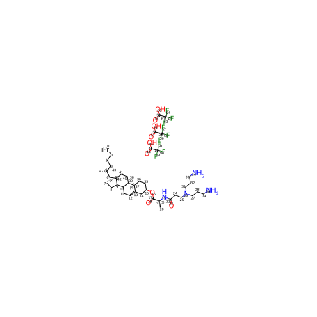 CC(C)CCC[C@@H](C)[C@H]1CCC2C3CC=C4CC(OC(=O)[C@H](C)NC(=O)CCN(CCCN)CCCN)CC[C@]4(C)C3CC[C@@]21C.O=C(O)C(F)(F)F.O=C(O)C(F)(F)F.O=C(O)C(F)(F)F